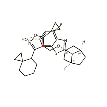 O=C(O)c1cc(F)c2nc(N3[C@@H]4CC[C@H]3C[C@H](OCc3c(C5CCCCC56CC6)noc3C3CC3)C4)sc2c1